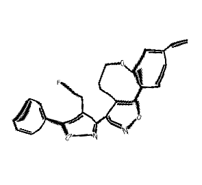 C=Cc1ccc2c(c1)OCCc1c(-c3noc(-c4ccccc4)c3CF)noc1-2